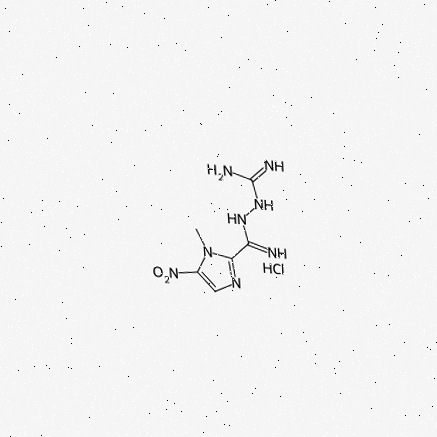 Cl.Cn1c([N+](=O)[O-])cnc1C(=N)NNC(=N)N